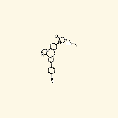 CCNC[C@H]1CC(=O)N(c2ccc3c(c2)Cn2cc(-c4ccc(C#N)cc4)cc2-c2nccn2-3)C1